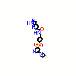 O=C(NCc1ccc(S(=O)(=O)c2cncc(N3CCCC3)c2)cc1)c1cnc2[nH]ncc2c1